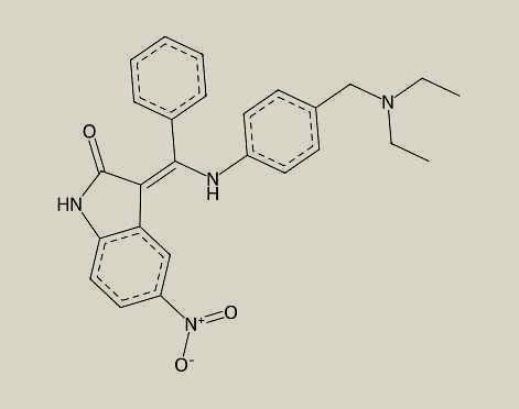 CCN(CC)Cc1ccc(NC(=C2C(=O)Nc3ccc([N+](=O)[O-])cc32)c2ccccc2)cc1